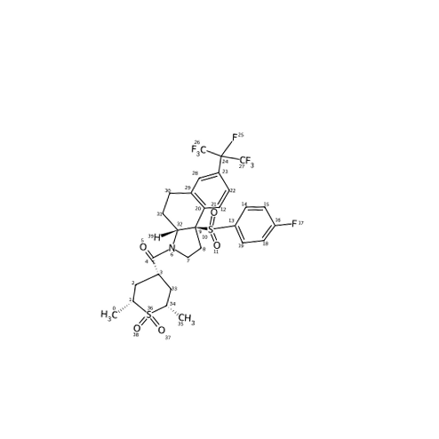 C[C@@H]1C[C@H](C(=O)N2CC[C@@]3(S(=O)(=O)c4ccc(F)cc4)c4ccc(C(F)(C(F)(F)F)C(F)(F)F)cc4CC[C@@H]23)C[C@H](C)S1(=O)=O